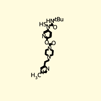 Cn1cnc(CCN2CCN(C(=O)Oc3ccc(N(S)C(=O)NC(C)(C)C)cn3)CC2)c1